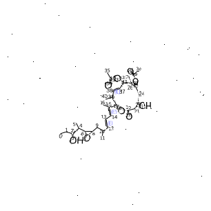 CCC(O)C(C)C1OC1CC(C)/C=C/C=C(\C)C1OC(=O)CC(O)CCC(C)(OC(C)=O)C(OC(C)=O)/C=C/C1C